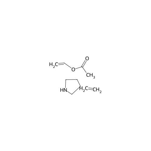 C1CCNC1.C=C.C=COC(C)=O